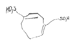 O=S(=O)(O)C1=CCCC(S(=O)(=O)O)=C1